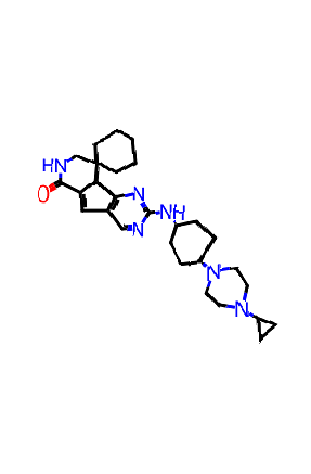 O=C1NCC2(CCCCC2)C2C1=Cc1cnc(N[C@H]3CC[C@H](N4CCN(C5CC5)CC4)CC3)nc12